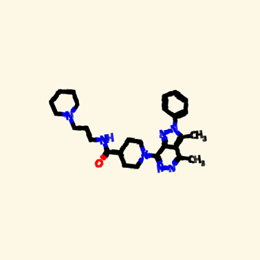 Cc1nnc(N2CCC(C(=O)NCCCN3CCCCC3)CC2)c2nn(-c3ccccc3)c(C)c12